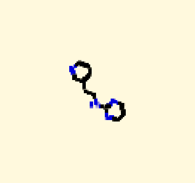 [c]1ccnc(NCCc2cccnc2)n1